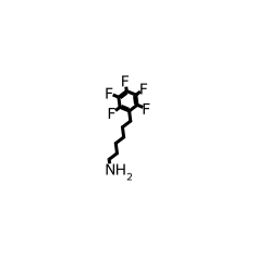 NCCCCCCc1c(F)c(F)c(F)c(F)c1F